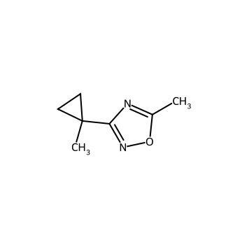 Cc1nc(C2(C)CC2)no1